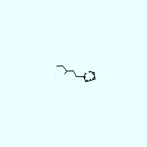 CC(C)CC(N)CCc1ccco1